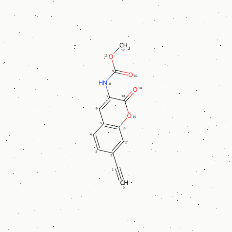 C#Cc1ccc2cc(NC(=O)OC)c(=O)oc2c1